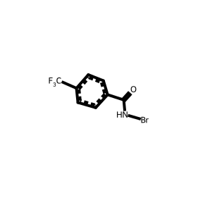 O=C(NBr)c1ccc(C(F)(F)F)cc1